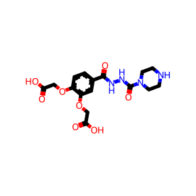 O=C(O)COc1ccc(C(=O)NNC(=O)N2CCNCC2)cc1OCC(=O)O